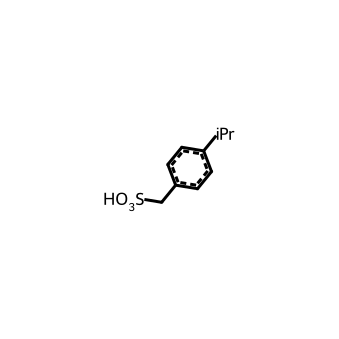 CC(C)c1ccc(CS(=O)(=O)O)cc1